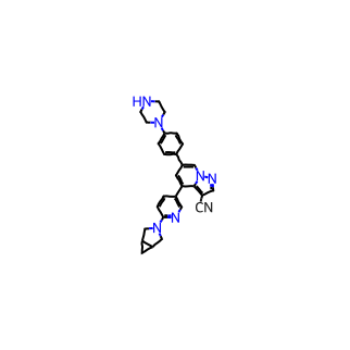 N#Cc1cnn2cc(-c3ccc(N4CCNCC4)cc3)cc(-c3ccc(N4CC5CC5C4)nc3)c12